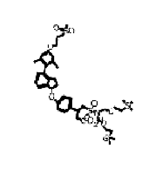 Cc1cc(OCCCS(C)(=O)=O)cc(C)c1-c1cccc2c1CC[C@H]2Oc1ccc(C(CC(=O)O)CS(=O)(=O)N(COCC[Si](C)(C)C)COCC[Si](C)(C)C)cc1